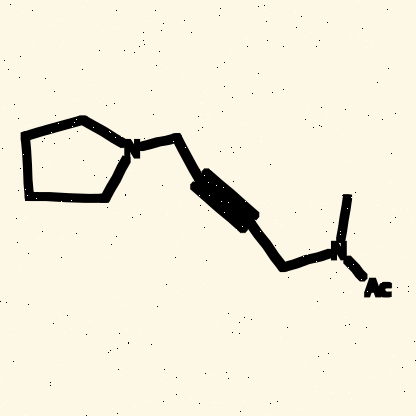 CC(=O)N(C)CC#CCN1CCCC1